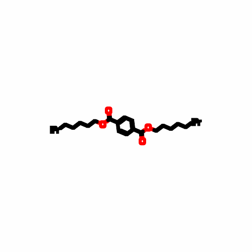 CC(C)CCCCCOC(=O)c1ccc(C(=O)OCCCCCC(C)C)cc1